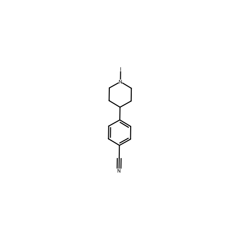 N#Cc1ccc(C2CCN(I)CC2)cc1